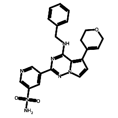 NS(=O)(=O)c1cncc(-c2nc(NCc3ccccc3)c3c(C4=CCOCC4)ccn3n2)c1